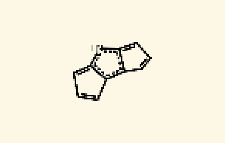 C1=Cc2c3c([nH]c2=C1)=CC=C3